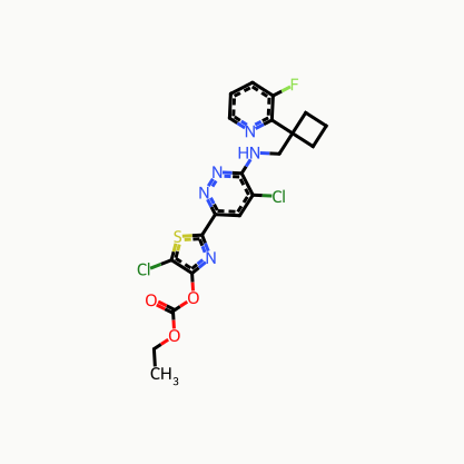 CCOC(=O)Oc1nc(-c2cc(Cl)c(NCC3(c4ncccc4F)CCC3)nn2)sc1Cl